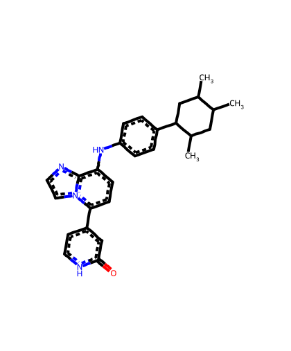 CC1CC(C)C(c2ccc(Nc3ccc(-c4cc[nH]c(=O)c4)n4ccnc34)cc2)CC1C